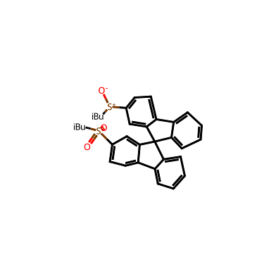 CCC(C)[S+]([O-])c1ccc2c(c1)C1(c3ccccc3-2)c2ccccc2-c2ccc(S(=O)(=O)C(C)CC)cc21